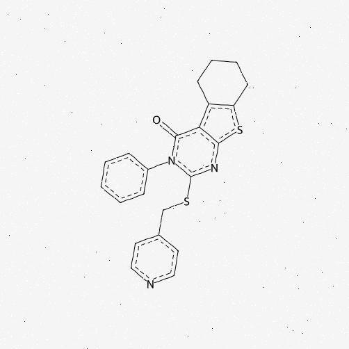 O=c1c2c3c(sc2nc(SCc2ccncc2)n1-c1ccccc1)CCCC3